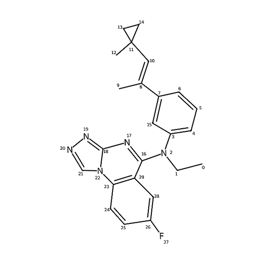 CCN(c1cccc(/C(C)=C/C2(C)CC2)c1)c1nc2nncn2c2ccc(F)cc12